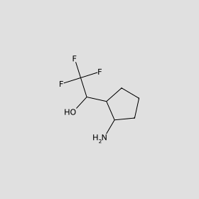 NC1CCCC1C(O)C(F)(F)F